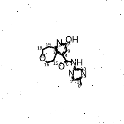 Cc1cnc(NC(=O)c2cc(O)nc3c2CCOCC3)cn1